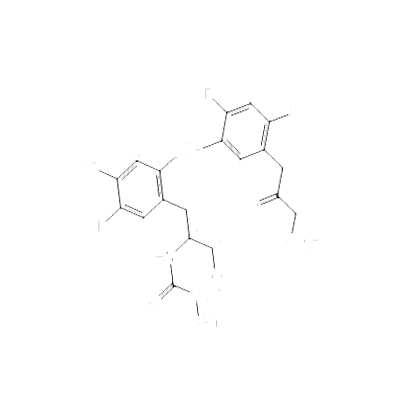 CCOC(=O)CC(=O)Cc1cc(F)c(F)cc1F.CCOC(=O)CC(Cc1cc(F)c(F)cc1F)NC(=O)OC(C)(C)C